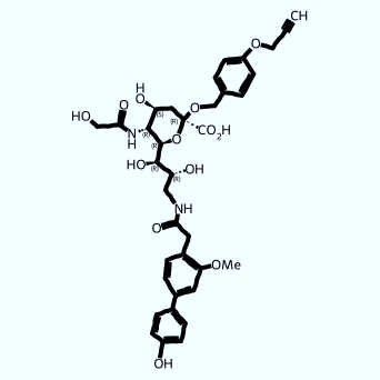 C#CCOc1ccc(CO[C@]2(C(=O)O)C[C@H](O)[C@@H](NC(=O)CO)[C@H]([C@H](O)[C@H](O)CNC(=O)Cc3ccc(-c4ccc(O)cc4)cc3OC)O2)cc1